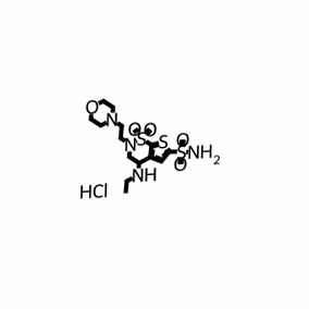 CCNC1CN(CCN2CCOCC2)S(=O)(=O)c2sc(S(N)(=O)=O)cc21.Cl